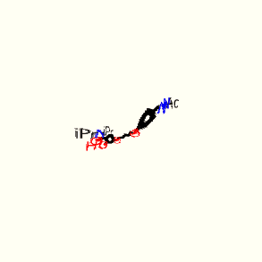 CC(=O)N=NCc1ccc(OCCCCCOc2ccc(C(=O)N(C(C)C)C(C)C)c(O)c2)cc1